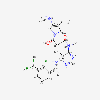 C=CC1=C(/N=C\C)CN(C(=O)c2cc3c(N[C@H](C)c4cccc(C(F)F)c4F)ncnc3n(C)c2=O)C1